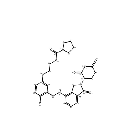 O=C1CC[C@H](N2Cc3c(NCc4cc(OCCOC(=O)N5CCCC5)ccc4F)cccc3C2=O)C(=O)N1